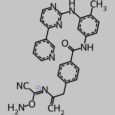 C=C(Cc1ccc(C(=O)Nc2ccc(C)c(Nc3nccc(-c4cccnc4)n3)c2)cc1)/N=C(/C#N)ON